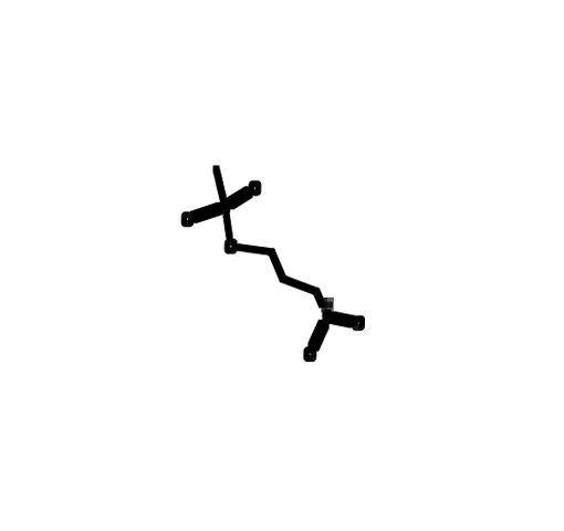 CS(=O)(=O)OCCC[SH](=O)=O